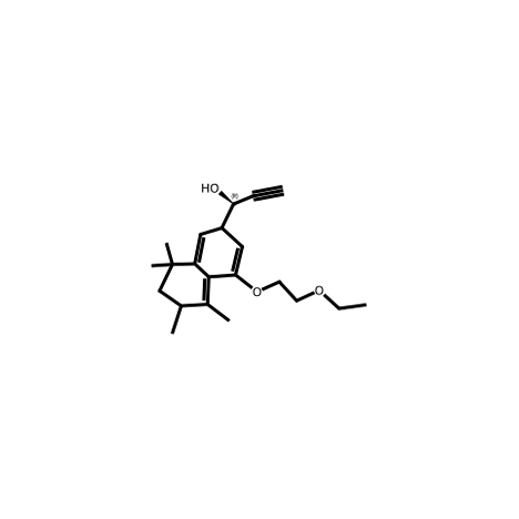 C#C[C@H](O)C1C=C(OCCOCC)C2=C(C)C(C)CC(C)(C)C2=C1